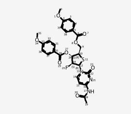 COc1ccc(C(=O)OC[C@H]2S[C@@H](n3ccc(NC(C)=O)nc3=O)[C@@H](F)[C@@H]2OC(=O)c2ccc(OC)cc2)cc1